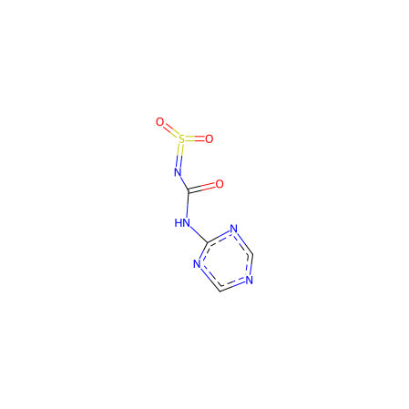 O=C(N=S(=O)=O)Nc1ncncn1